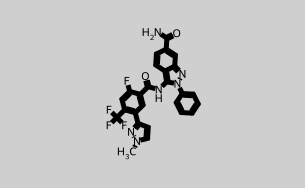 Cn1ccc(-c2cc(C(=O)Nc3c4ccc(C(N)=O)cc4nn3-c3ccccc3)c(F)cc2C(F)(F)F)n1